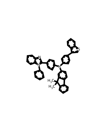 CC1(C)c2ccccc2-c2ccc(N(c3ccc(-c4csc5ccccc45)cc3)c3ccc(-c4nc5ccccc5n4-c4ccccc4)cc3)cc21